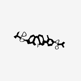 C=C(C)C(=O)Oc1ccc(-c2ccc(-c3ccc(OC(=O)C(=C)C)cc3C)c(F)c2)c(C)c1